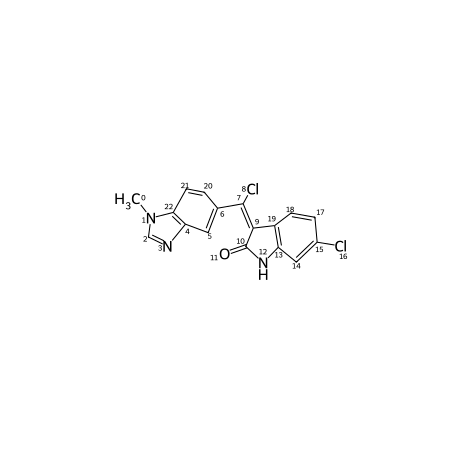 Cn1cnc2cc(C(Cl)=C3C(=O)Nc4cc(Cl)ccc43)ccc21